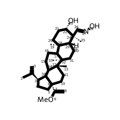 C=C(C)[C@@H]1CC[C@]2(C(=C)OC)CC[C@]3(C)C(CCC4[C@@]5(C)CC[C@H](O)[C@@](C)(/C=N/O)[C@@H]5CC[C@]43C)C12